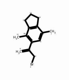 C=C(CBr)c1cc(C)c2c(c1C)CCC2